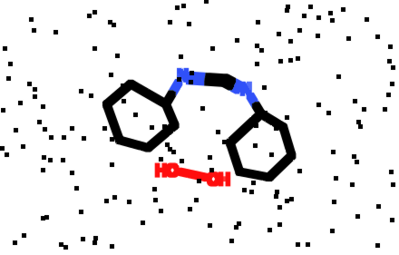 C(=NC1CCCCC1)=NC1CCCCC1.OO